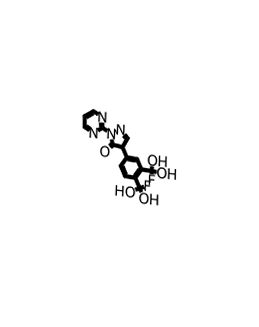 O=C1C(c2ccc(C(O)(O)F)c(C(O)(O)F)c2)C=NN1c1ncccn1